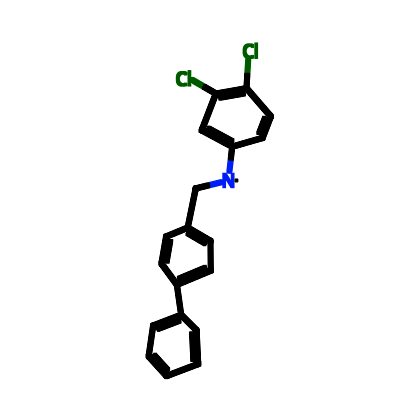 Clc1ccc([N]Cc2ccc(-c3ccccc3)cc2)cc1Cl